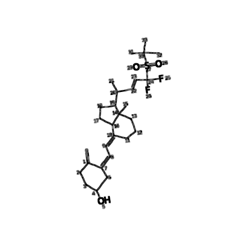 C=C1CCC(O)C/C1=C/C=C1\CCCC2(C)C1CCC2C(C)/C=C/C(F)(F)S(=O)(=O)C(C)(C)C